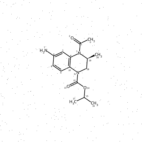 CC(=O)N1c2cc(N)ccc2N(C(=O)OC(C)C)C[C@@H]1C